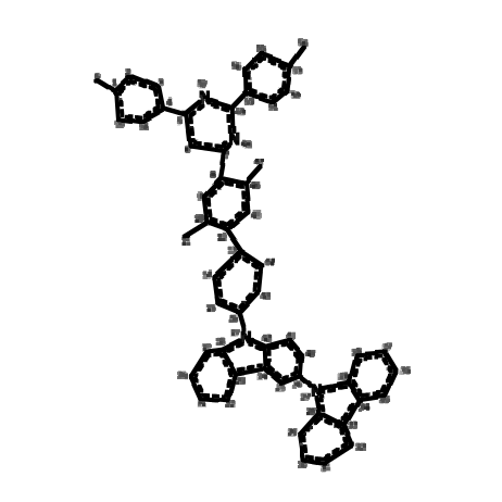 Cc1ccc(-c2cc(-c3cc(C)c(-c4ccc(-n5c6ccccc6c6cc(-n7c8ccccc8c8ccccc87)ccc65)cc4)cc3C)nc(-c3ccc(C)cc3)n2)cc1